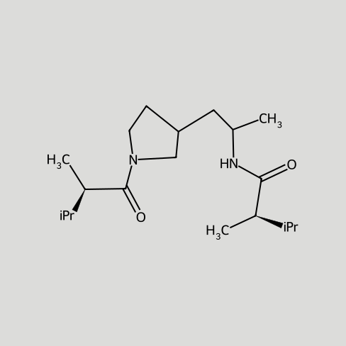 CC(CC1CCN(C(=O)[C@H](C)C(C)C)C1)NC(=O)[C@H](C)C(C)C